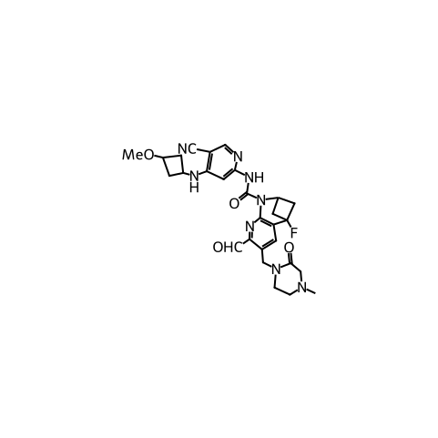 COC1CC(Nc2cc(NC(=O)N3c4nc(C=O)c(CN5CCN(C)CC5=O)cc4C4(F)CC3C4)ncc2C#N)C1